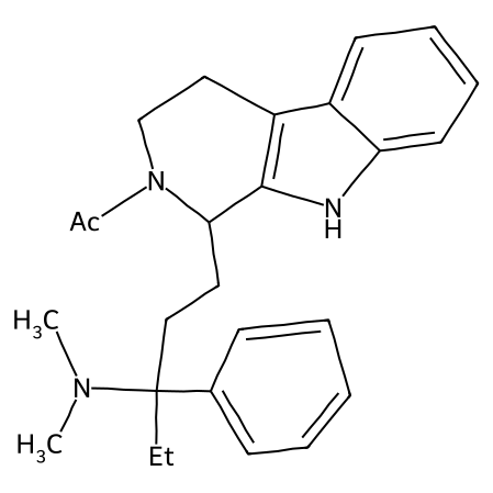 CCC(CCC1c2[nH]c3ccccc3c2CCN1C(C)=O)(c1ccccc1)N(C)C